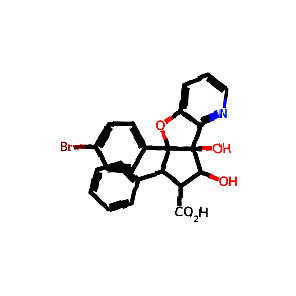 O=C(O)C1C(O)C2(O)c3ncccc3OC2(c2ccc(Br)cc2)C1c1ccccc1